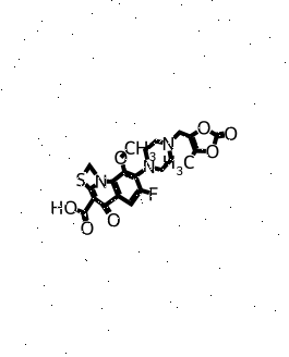 COc1c(N2CCN(Cc3oc(=O)oc3C)CC2)c(F)cc2c(=O)c(C(=O)O)c3n(c12)CS3